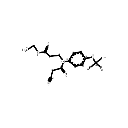 CCOC(=O)CCN(C(=O)CC#N)c1ccc(OC(F)(F)F)cc1